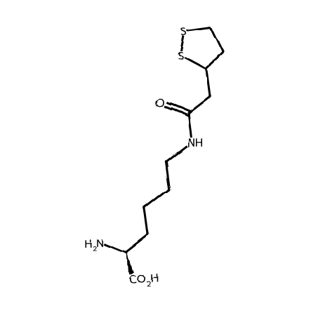 N[C@@H](CCCCNC(=O)CC1CCSS1)C(=O)O